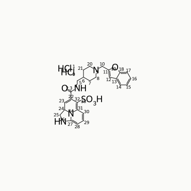 Cl.Cl.O=C(NCC1CCN(Cc2cc3ccccc3o2)CC1)C1=CC2CNC3=CC=CC(=C1S(=O)(=O)O)N32